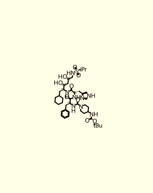 CC(C)S(=O)(=O)NC[C@H](O)C[C@H](O)[C@H](CC1CCCCC1)NC(=O)[C@H](Cc1c[nH]cn1)NC(=O)[C@H](Cc1ccccc1)NC(=O)N1CCC(NC(=O)OC(C)(C)C)CC1